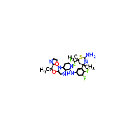 C[C@@H](Oc1cnc2c(Nc3cc(F)c(F)c([C@]4(C)C[C@](C)(C(F)F)SC(N)=N4)c3)nccc2n1)c1ncco1